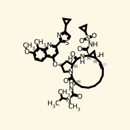 COc1ccc2c(O[C@@H]3C[C@H]4C(=O)N[C@]5(C(=O)NS(=O)(=O)C6CC6)C[C@H]5/C=C\CCCCC[C@H](NC(=O)N(C)C(C)C)C(=O)N4C3)cc(-c3nc(C4CC4)cs3)nc2c1C